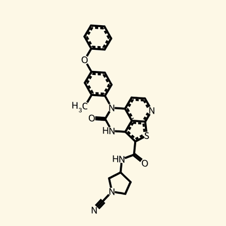 Cc1cc(Oc2ccccc2)ccc1N1C(=O)Nc2c(C(=O)NC3CCN(C#N)C3)sc3nccc1c23